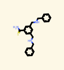 NC(=S)c1cc(CNCc2ccccc2)cc(CNCc2ccccc2)c1